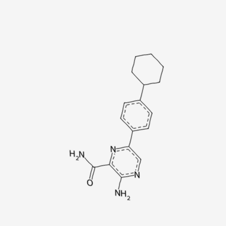 NC(=O)c1nc(-c2ccc(C3CCCCC3)cc2)cnc1N